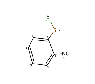 O=Nc1ccccc1SCl